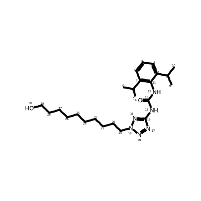 CC(C)c1cccc(C(C)C)c1NC(=O)Nc1nnn(CCCCCCCCCCO)n1